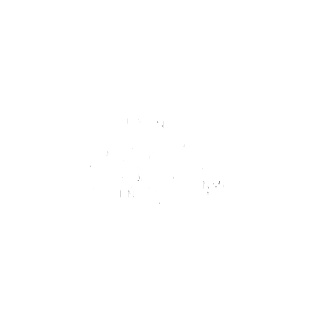 CCCCN(CCCC)c1cc(C(=O)NC)cc(S(N)(=O)=O)c1Oc1ccccc1